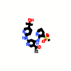 CCC(=O)c1cnc(Nc2ccc(C(C)(C)O)cn2)cc1Nc1ncccc1S(C)(=O)=O